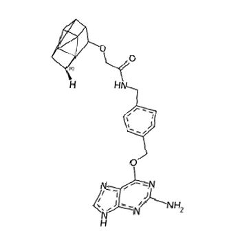 Nc1nc(OCc2ccc(CNC(=O)COC3C4C5C6[C@@H]3C3C47C5C637)cc2)c2nc[nH]c2n1